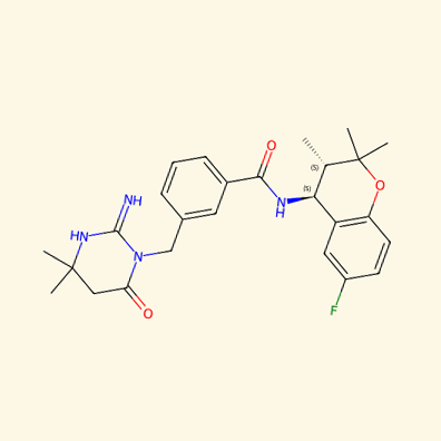 C[C@H]1[C@H](NC(=O)c2cccc(CN3C(=N)NC(C)(C)CC3=O)c2)c2cc(F)ccc2OC1(C)C